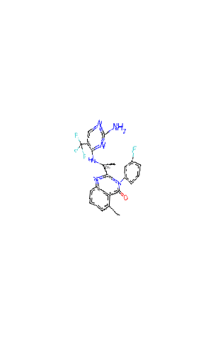 Cc1cccc2nc([C@H](C)Nc3nc(N)ncc3C(F)(F)F)n(-c3cccc(F)c3)c(=O)c12